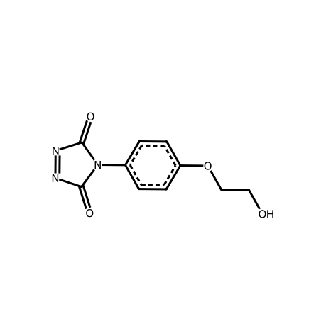 O=C1N=NC(=O)N1c1ccc(OCCO)cc1